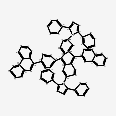 c1ccc(-c2ccc(-c3ccccc3)n2-c2ccc3c(-c4ccc5ccccc5c4)c4cc(-n5c(-c6ccccc6)ccc5-c5ccccc5)ccc4c(-c4ccc(-c5cc6ccccc6c6ccccc56)cc4)c3c2)cc1